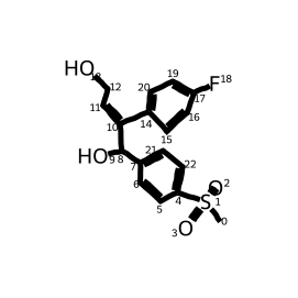 CS(=O)(=O)c1ccc(C(O)C(=CCO)c2ccc(F)cc2)cc1